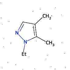 [CH2]c1cnn(CC)c1C